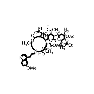 CCC(=O)O[C@@H]1CC(=O)O[C@H](C)CCN(CCCc2ccnc3ccc(OC)cc23)C[C@H](O)[C@H](C)C[C@H](CC(OC)OC)[C@H]([C@@H]2O[C@H](C)[C@@H](O[C@@H]3C[C@@](C)(OC(C)=O)[C@@H](OC(=O)CC)[C@H](C)O3)[C@H](N(C)C)[C@H]2O)[C@@H]1OC